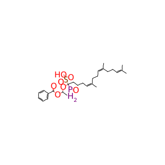 CC(C)=CCCC(C)=CCCC(C)=CCCCC(OC(C)OC(=O)c1ccccc1)([PH2]=O)S(=O)(=O)O